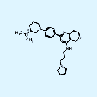 CN(C)[C@H]1CCCN(c2ccc(-c3nc4c(c(NCCCN5CCCC5)n3)COCC4)cc2)C1